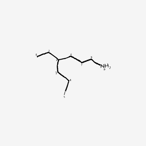 CCC(CCI)CCCN